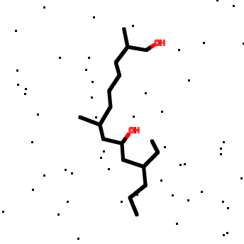 CCCC(CC)CC(O)CC(C)CCCCC(C)CO